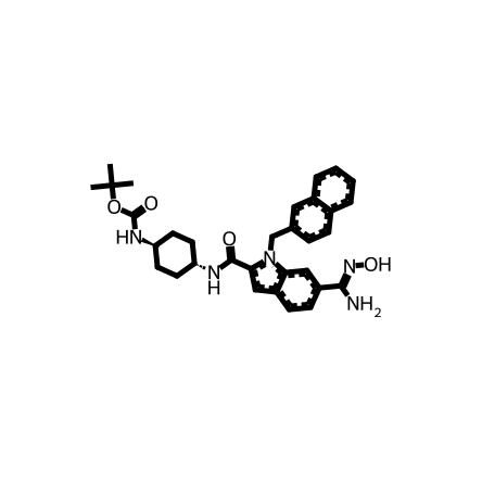 CC(C)(C)OC(=O)N[C@H]1CC[C@H](NC(=O)c2cc3ccc(C(N)=NO)cc3n2Cc2ccc3ccccc3c2)CC1